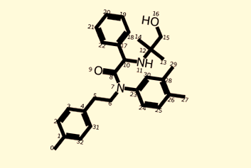 Cc1ccc(CCN(C(=O)C(NC(C)(C)CO)c2ccccc2)c2ccc(C)c(C)c2)cc1